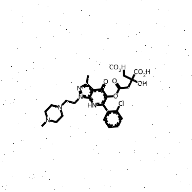 Cc1nn(CCN2CCN(C)CC2)c2[nH]c(-c3ccccc3Cl)c(OC(=O)CC(O)(CC(=O)O)C(=O)O)c(=O)c12